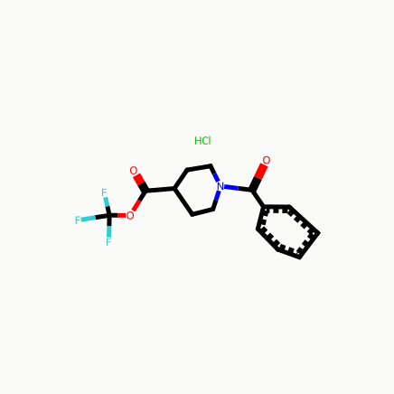 Cl.O=C(OC(F)(F)F)C1CCN(C(=O)c2ccccc2)CC1